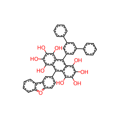 Oc1c(O)c(O)c2c(-c3ccc4oc5ccccc5c4c3)c3c(O)c(O)c(O)c(O)c3c(-c3cc(-c4ccccc4)cc(-c4ccccc4)c3)c2c1O